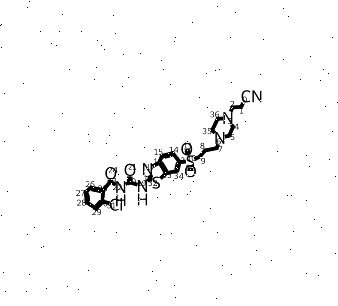 N#CCCN1CCN(CCCS(=O)(=O)c2ccc3nc(NC(=O)NC(=O)c4ccccc4Cl)sc3c2)CC1